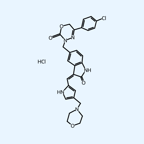 Cl.O=C1Nc2ccc(CN3N=C(c4ccc(Cl)cc4)COC3=O)cc2C1=Cc1cc(CN2CCOCC2)c[nH]1